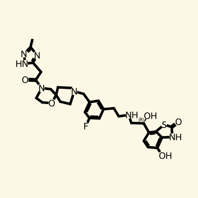 Cc1n[nH]c(CC(=O)N2CCOC3(CCN(Cc4cc(F)cc(CCNC[C@H](O)c5ccc(O)c6[nH]c(=O)sc56)c4)CC3)C2)n1